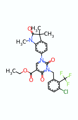 CCOC(=O)c1cn(-c2ccc3c(c2)N(C)C(=O)C3(C)C)c(=O)n(Cc2cccc(Cl)c2C(F)(F)F)c1=O